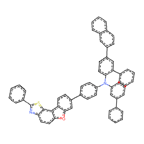 c1ccc(-c2cccc(N(c3ccc(-c4ccc5c(c4)oc4ccc6nc(-c7ccccc7)sc6c45)cc3)c3ccc(-c4ccc5ccccc5c4)cc3-c3ccccc3)c2)cc1